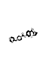 Cn1ccnc1C(S)c1ccc(OC(=O)N2CCN(Cc3ccncn3)CC2)cc1